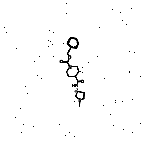 CN1CC[C@@H](NC(=O)C2CCN(C(=O)OCc3ccccc3)CC2)C1